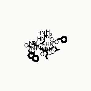 CC[C@H](C)C(NC(=O)[C@H](CC(C)C)NC(=O)OCc1ccccc1)C(=O)C(=O)N[C@@H](CCCNC(=N)N)C(=O)N[C@@H](Cc1ccc2ccccc2c1)C(N)=O